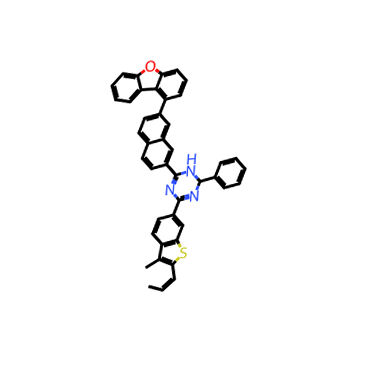 C/C=C\c1sc2cc(C3=NC(c4ccccc4)NC(c4ccc5ccc(-c6cccc7oc8ccccc8c67)cc5c4)=N3)ccc2c1C